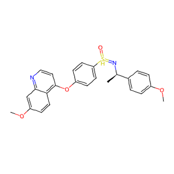 COc1ccc([C@@H](C)/N=[SH](=O)\c2ccc(Oc3ccnc4cc(OC)ccc34)cc2)cc1